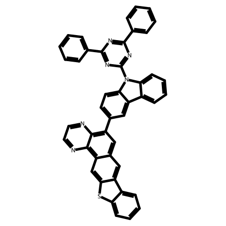 c1ccc(-c2nc(-c3ccccc3)nc(-n3c4ccccc4c4cc(-c5cc6cc7c(cc6c6nccnc56)sc5ccccc57)ccc43)n2)cc1